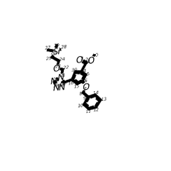 COC(=O)c1cc(OCc2ccccc2)cc(-c2nnnn2COCC[Si](C)(C)C)c1